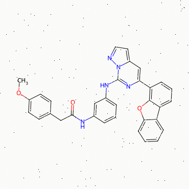 COc1ccc(CC(=O)Nc2cccc(Nc3nc(-c4cccc5c4oc4ccccc45)cc4ccnn34)c2)cc1